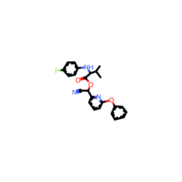 CC(C)C(Nc1ccc(F)cc1)C(=O)OC(C#N)c1cccc(Oc2ccccc2)n1